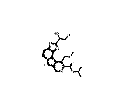 COCc1c(C(=O)OC(C)C)ncc2[nH]c3ccc4oc(C(O)CO)nc4c3c12